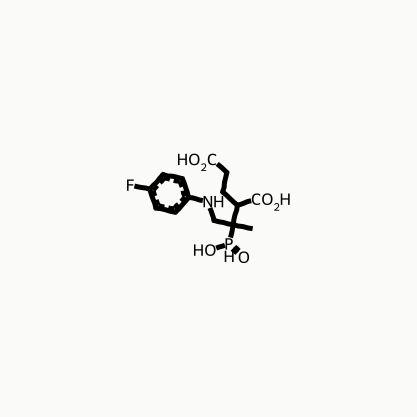 CC(CNc1ccc(F)cc1)(C(CCC(=O)O)C(=O)O)[PH](=O)O